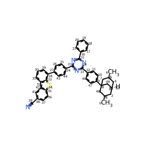 C[C@@H]1C[C@@H]2C[C@H](C)CC(c3ccc(-c4nc(-c5ccccc5)nc(-c5ccc(-c6cccc7c6sc6ccc(C#N)cc67)cc5)n4)cc3)(C1)C2